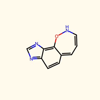 C1=CNOc2c3c(ccc2=C1)=NC=N3